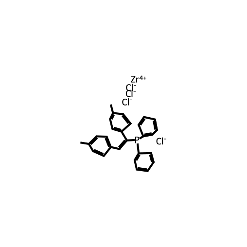 Cc1ccc(C=C(c2ccc(C)cc2)P(c2ccccc2)c2ccccc2)cc1.[Cl-].[Cl-].[Cl-].[Cl-].[Zr+4]